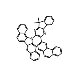 CC1(C)c2ccccc2-c2nc(-c3ccc4ccc5ccccc5c4c3)c(-n3c4cc5ccccc5cc4c4ccc5ccccc5c43)nc21